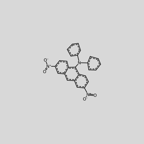 O=[N+]([O-])c1ccc2c(N(c3ccccc3)c3ccccc3)c3ccc([N+](=O)[O-])cc3cc2c1